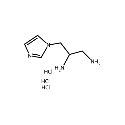 Cl.Cl.Cl.NCC(N)Cn1ccnc1